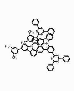 Cc1cc(-c2ccc3c(c2)c2ccccc2n3-c2ccc(-c3nc(-c4ccccc4)nc(-c4ccccc4)n3)cc2-c2cccc(-c3cc(-c4nc(-c5ccccc5)nc(-c5ccccc5)n4)ccc3-n3c4ccccc4c4cc(-c5cc(C)cc(C(F)(F)F)c5)ccc43)c2)cc(C(F)(F)F)c1